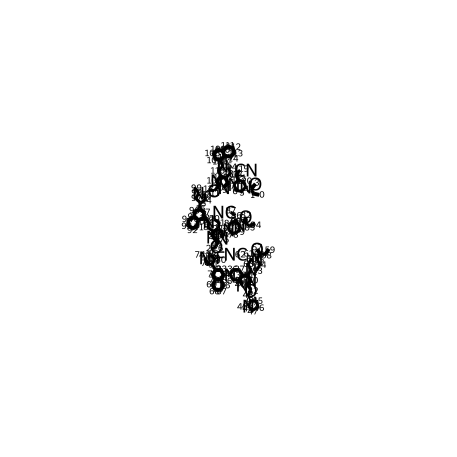 C=CC(=O)N1CCN(c2nc(OC[C@@H]3CC(c4cc(N5CCc6c(nc(OC[C@@H]7[C@H](F)C(c8cc(N9CCc%10c(nc(OC[C@H]%11CCCN%11C)nc%10N%10CCN(C(=O)C=C)[C@@H](CC#N)C%10)C9)c9ccccc9c8)CN7C)nc6N6CCN(C(=O)C=C)[C@@H](CC#N)C6)C5)c5ccccc5c4)CN3C)nc3c2CCN(c2cccc4ccccc24)C3)C(CC#N)C1